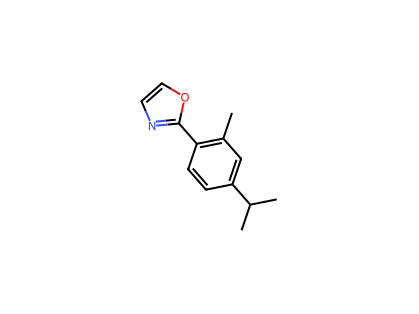 Cc1cc(C(C)C)ccc1-c1ncco1